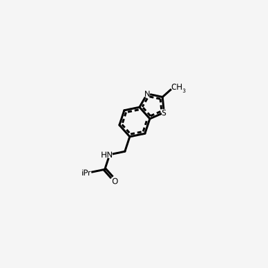 Cc1nc2ccc(CNC(=O)C(C)C)cc2s1